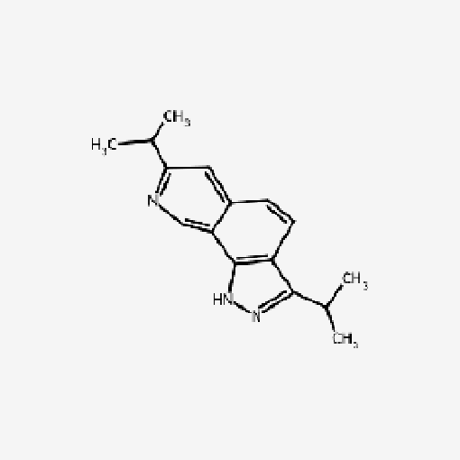 CC(C)c1cc2ccc3c(C(C)C)n[nH]c3c2cn1